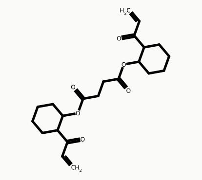 C=CC(=O)C1CCCCC1OC(=O)CCC(=O)OC1CCCCC1C(=O)C=C